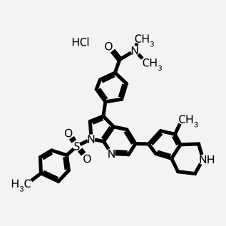 Cc1ccc(S(=O)(=O)n2cc(-c3ccc(C(=O)N(C)C)cc3)c3cc(-c4cc(C)c5c(c4)CCNC5)cnc32)cc1.Cl